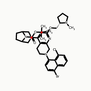 CN1CCC[C@H]1COc1nc2c(c(N3CC4CCC(C3)N4C(=O)OC(C)(C)C)n1)CCN(c1ccc(Br)c3cccc(Cl)c13)C2